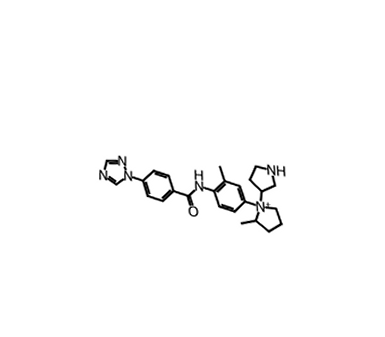 Cc1cc([N+]2(C3CCNC3)CCCC2C)ccc1NC(=O)c1ccc(-n2cncn2)cc1